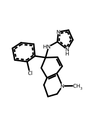 CN1CCCC2=C1C=CC(Nc1ncc[nH]1)(c1ccccc1Cl)C2